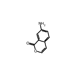 Nc1ccc2c[c]oc(=O)c2c1